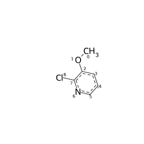 COc1c[c]cnc1Cl